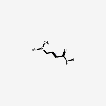 CCCN(C)C/C=C/C(=O)NI